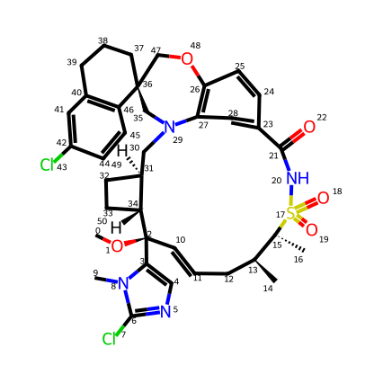 CO[C@]1(c2cnc(Cl)n2C)/C=C/C[C@H](C)[C@@H](C)S(=O)(=O)NC(=O)c2ccc3c(c2)N(C[C@@H]2CC[C@H]21)C[C@@]1(CCCc2cc(Cl)ccc21)CO3